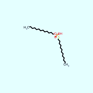 CCCCCCCCCCCCCOP(=O)(O)SCCCCCCCCCCCCC